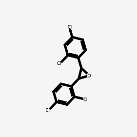 Clc1ccc(C2OC2c2ccc(Cl)cc2Cl)c(Cl)c1